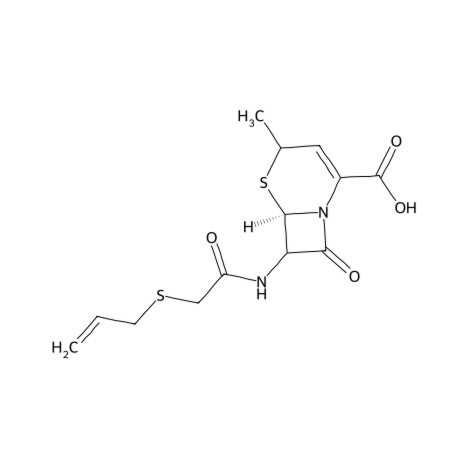 C=CCSCC(=O)NC1C(=O)N2C(C(=O)O)=CC(C)S[C@H]12